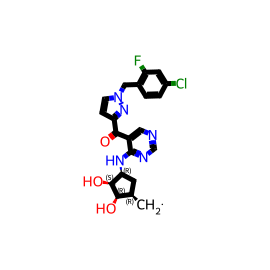 [CH2][C@@H]1C[C@@H](Nc2ncncc2C(=O)c2ccn(Cc3ccc(Cl)cc3F)n2)[C@H](O)[C@@H]1O